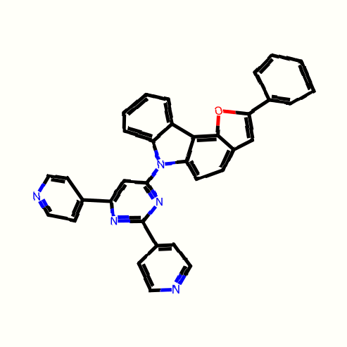 c1ccc(-c2cc3ccc4c(c5ccccc5n4-c4cc(-c5ccncc5)nc(-c5ccncc5)n4)c3o2)cc1